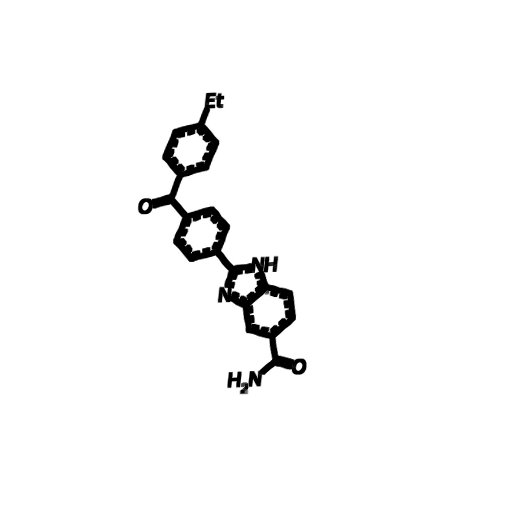 CCc1ccc(C(=O)c2ccc(-c3nc4cc(C(N)=O)ccc4[nH]3)cc2)cc1